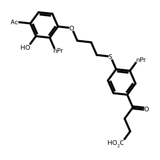 CCCc1cc(C(=O)CCC(=O)O)ccc1SCCCOc1ccc(C(C)=O)c(O)c1CCC